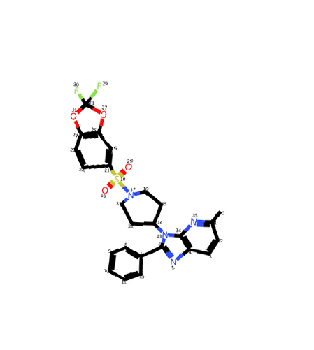 Cc1ccc2nc(-c3ccccc3)n(C3CCN(S(=O)(=O)c4ccc5c(c4)OC(F)(F)O5)CC3)c2n1